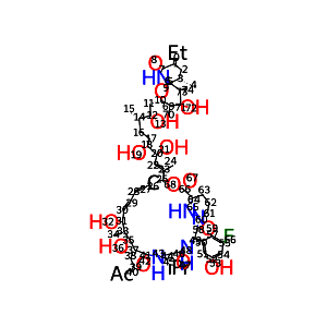 CC[C@H]1C[C@H](C)[C@@]2(NC1=O)O[C@@H](C[C@H](O)[C@@H](C)CCC(O)C(O)/C=C(\C)[C@@H]1C/C=C/C=C/[C@H](O)[C@H](C)[C@@H](O)[C@@H](CCC(C)=O)C(=O)N[C@@H](C(C)C)C(=O)NC(c3cc(O)cc(F)c3)C(=O)N3CCCC(N3)C(=O)O1)[C@H](C)[C@H](O)[C@@H]2C